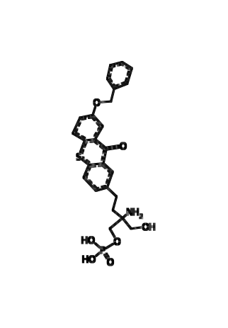 NC(CO)(CCc1ccc2sc3ccc(OCc4ccccc4)cc3c(=O)c2c1)COP(=O)(O)O